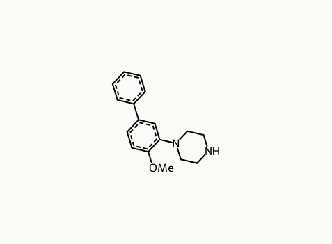 COc1ccc(-c2ccccc2)cc1N1CCNCC1